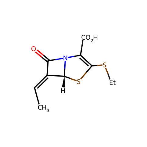 C/C=C1/C(=O)N2C(C(=O)O)=C(SCC)S[C@H]12